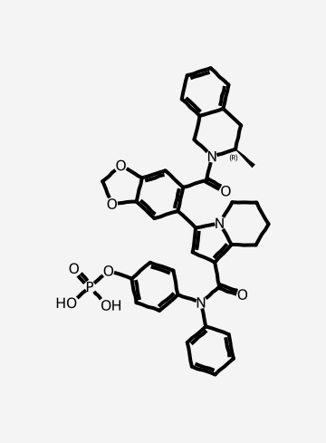 C[C@@H]1Cc2ccccc2CN1C(=O)c1cc2c(cc1-c1cc(C(=O)N(c3ccccc3)c3ccc(OP(=O)(O)O)cc3)c3n1CCCC3)OCO2